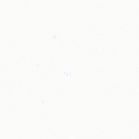 CCC(OC)C(CO)NCCO